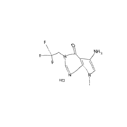 Cl.Cn1cc(N)c2c(=O)n(CC(F)(F)F)cnc21